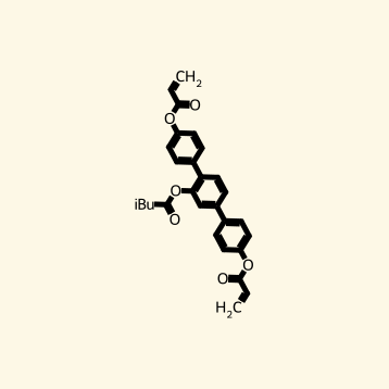 C=CC(=O)Oc1ccc(-c2ccc(-c3ccc(OC(=O)C=C)cc3)c(OC(=O)C(C)CC)c2)cc1